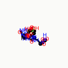 CC(C)(C)c1ccc(C([C@@H](C=O)NC(=O)[C@H](CCC(N)=O)NC(=O)[C@@H]2CC[C@@H]3CCN(CCC(N)=O)C[C@H](NC(=O)c4cc5cc(C(F)(F)P(=O)(O)O)ccc5s4)C(=O)N32)N2CCC(CCC#Cc3cccc4c3CN(C3CCC(=O)NC3=O)C4=O)CC2)cc1